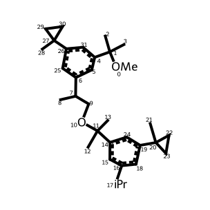 COC(C)(C)c1cc(C(C)COC(C)(C)c2cc(C(C)C)cc(C3(C)CC3)c2)cc(C2(C)CC2)c1